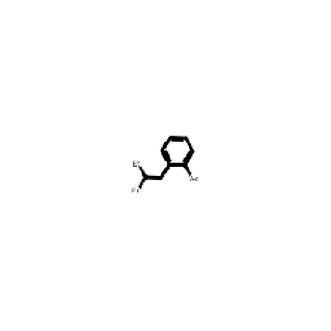 CCC(CC)Cc1ccccc1C(C)=O